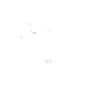 CCCN(CCC)[C@H]1COc2c(F)ccc(C(=O)NC)c2C1